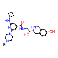 CCN1CCN(c2cc(C(=O)NCC(O)[C@@H]3Cc4ccc(O)cc4CN3)cc(NC3CCC3)n2)CC1